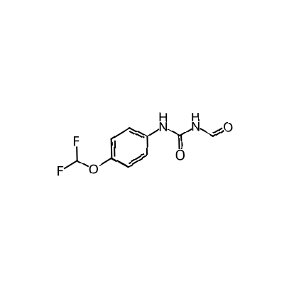 O=CNC(=O)Nc1ccc(OC(F)F)cc1